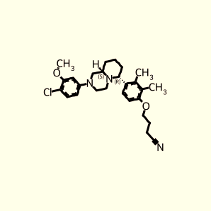 COc1cc(N2CCN3[C@@H](CCC[C@@H]3c3ccc(OCCCC#N)c(C)c3C)C2)ccc1Cl